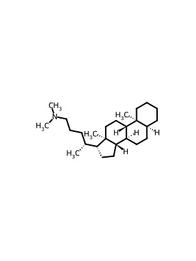 C[C@H](CCCN(C)C)[C@H]1CC[C@H]2[C@@H]3CC[C@@H]4CCCC[C@]4(C)[C@H]3CC[C@]12C